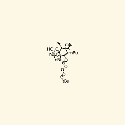 CCCCC1=C(OOOOOOC(C)(C)C)C(Cl)(CCCC)C(CCCC)(C(=O)O)C(C(C)C)C1(Cl)CCCC